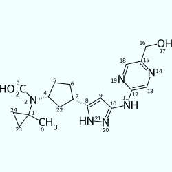 CC1(N(C(=O)O)[C@@H]2CC[C@H](c3cc(Nc4cnc(CO)cn4)n[nH]3)C2)CC1